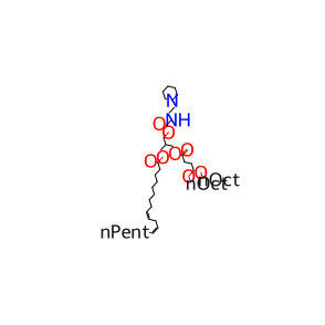 CCCCC/C=C\C/C=C\CCCCCCCC(=O)OCC(COC(=O)CCC(OCCCCCCCC)OCCCCCCCC)COC(=O)NCCN1CCCCC1